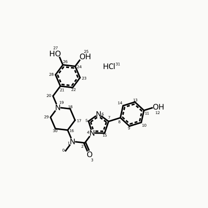 CN(C(=O)n1cnc(-c2ccc(O)cc2)c1)C1CCN(Cc2ccc(O)c(O)c2)CC1.Cl